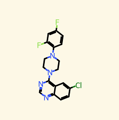 Fc1ccc(N2CCN(c3ncnc4ccc(Cl)cc34)CC2)c(F)c1